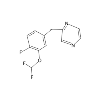 Fc1ccc([CH]c2cnccn2)cc1OC(F)F